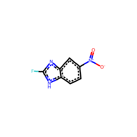 O=[N+]([O-])c1ccc2[nH]c(F)nc2c1